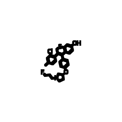 Cc1ccc(C2=C(c3ccc(O[C@H]4CCN(CCCF)C4)cc3)c3ccc(O)cc3SC2)c(Cl)c1